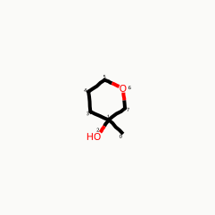 CC1(O)[CH]CCOC1